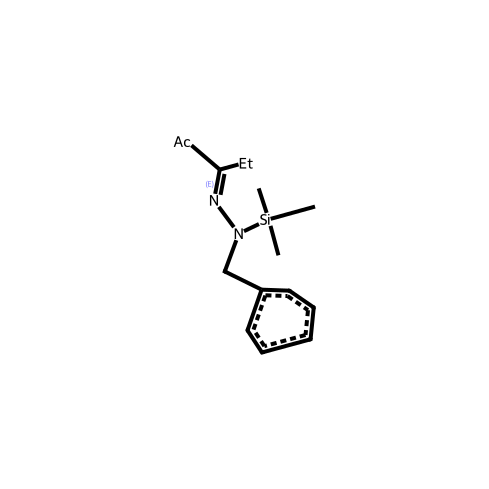 CC/C(=N\N(Cc1ccccc1)[Si](C)(C)C)C(C)=O